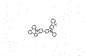 CC1(C)c2ccccc2-c2cc3c4cc(-c5ccc6c(c5)c5cccc7c5n6-c5ccccc5-c5ccccc5-7)ccc4n(-c4ccccc4)c3cc21